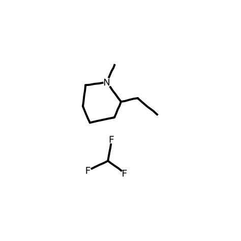 CCC1CCCCN1C.FC(F)F